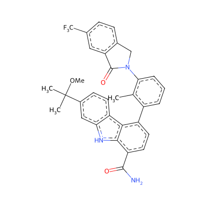 COC(C)(C)c1ccc2c(c1)[nH]c1c(C(N)=O)ccc(-c3cccc(N4Cc5ccc(C(F)(F)F)cc5C4=O)c3C)c12